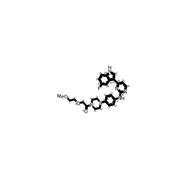 COCCOCC(=O)N1CCN(c2ccc(Nc3nccc(-c4c[nH]c5ccc(F)cc45)n3)cc2)CC1